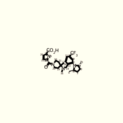 C[C@@H]1CC[C@@H](I)N1c1cc(C(F)(F)F)ccc1CN(C)C1(C)CCN(C(=O)n2ccc(C(=O)O)n2)CC1